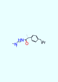 CC(C)Cc1ccc([C@@H](C)C(=O)NCCN(C)C)cc1